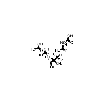 CC(C)(CO)C(O)(Br)Br.O=C(O)O.O=C(O)O.O=C(O)O.O=C(O)O